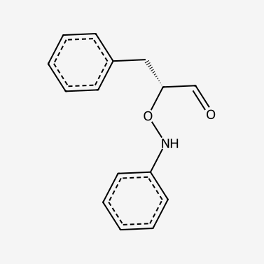 O=C[C@@H](Cc1ccccc1)ONc1ccccc1